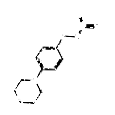 O=S(=O)=NNc1ccc(N2CCCCC2)cc1